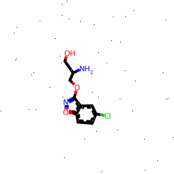 NC(CO)COc1noc2ccc(Cl)cc12